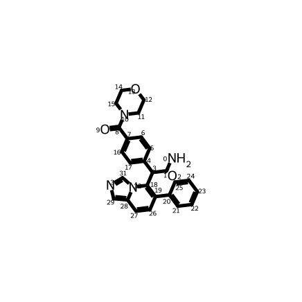 NC(=O)C(c1ccc(C(=O)N2CCOCC2)cc1)c1c(-c2ccccc2)ccc2cncn12